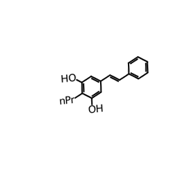 CCCc1c(O)cc(C=Cc2ccccc2)cc1O